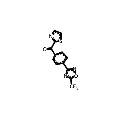 O=C(c1ccc(-c2noc(C(F)(F)F)n2)cc1)c1nccs1